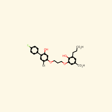 CCc1cc(-c2ccc(F)cc2)c(O)cc1OCCCOc1cc(C(=O)O)cc(CCC(=O)O)c1O